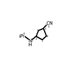 CC(C)NC1CCC(C#N)C1